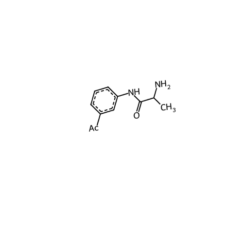 CC(=O)c1cccc(NC(=O)C(C)N)c1